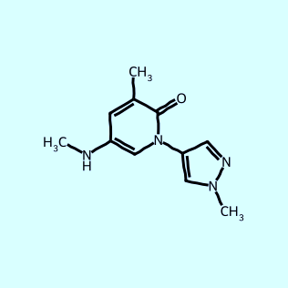 CNc1cc(C)c(=O)n(-c2cnn(C)c2)c1